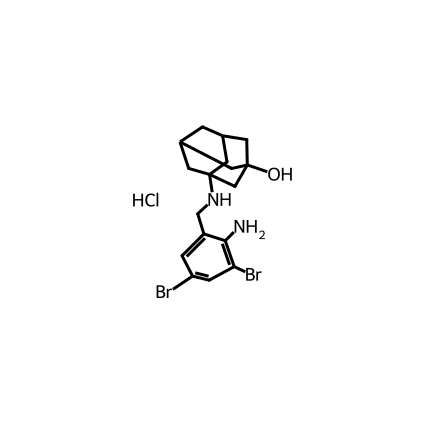 Cl.Nc1c(Br)cc(Br)cc1CNC12CC3CC(CC(O)(C3)C1)C2